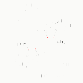 COc1c(C)cc(P(c2cc(C)c(OC)c(C)c2)c2cc(Oc3ccccc3)c3c(c2-c2c(P(c4cc(C)c(OC)c(C)c4)c4cc(C)c(OC)c(C)c4)cc(Oc4ccccc4)c4c2OC(C)(C)O4)OC(C)(C)O3)cc1C